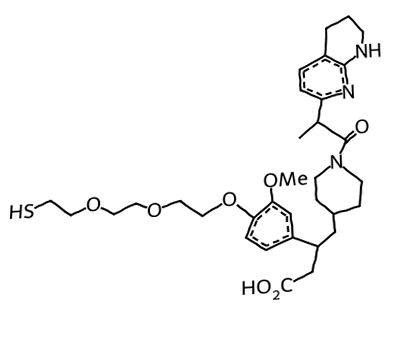 COc1cc(C(CC(=O)O)CC2CCN(C(=O)C(C)c3ccc4c(n3)NCCC4)CC2)ccc1OCCOCCOCCS